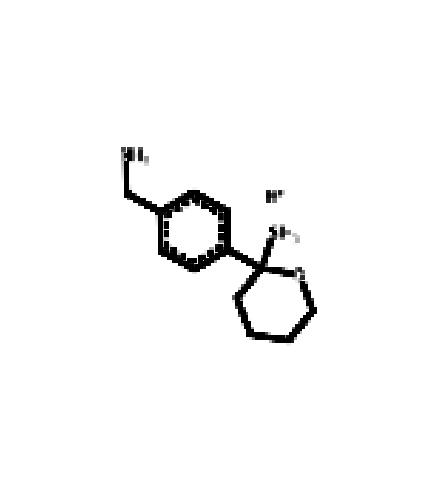 NCc1ccc(C2([SiH3])CCCCO2)cc1.[H+]